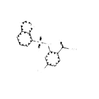 COC(=O)c1ccc(C)cc1NS(=O)(=O)c1cccc2nsnc12